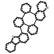 c1ccc2c(c1)-c1ccc3ncccc3c1-c1ccccc1-c1cccc(-c3cccc4c3sc3ccccc34)c1-2